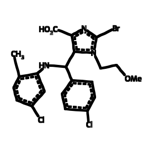 COCCn1c(Br)nc(C(=O)O)c1C(Nc1cc(Cl)ccc1C)c1ccc(Cl)cc1